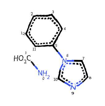 NC(=O)O.c1ccc(-n2ccnc2)cc1